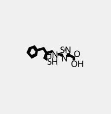 O=C(O)c1nsc(NCC(CS)Cc2ccccc2)n1